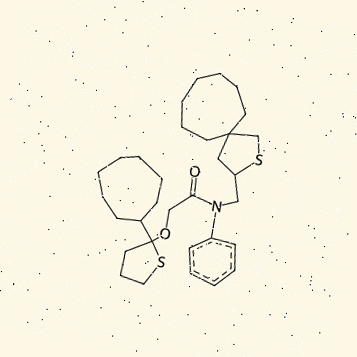 O=C(COC1(C2CCCCCCC2)CCCS1)N(CC1CC2(CCCCCCC2)CS1)c1ccccc1